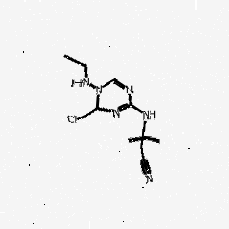 CCNN1C=NC(NC(C)(C)C#N)=NC1Cl